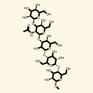 CO[C@@H]1OC(CO)[C@@H](O[C@@H]2OC(CO)[C@H](O[C@H]3OC(CO)[C@H](O)[C@H](O[C@@H]4OC(CO)[C@H](O)C(O[C@@H]5OC(CO)[C@H](O)C(O)[C@@H]5O)[C@@H]4NC(C)=O)C3O)C(O)[C@@H]2O)C(O)[C@@H]1O